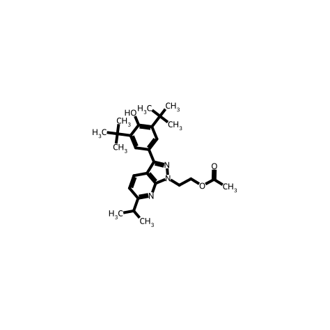 CC(=O)OCCn1nc(-c2cc(C(C)(C)C)c(O)c(C(C)(C)C)c2)c2ccc(C(C)C)nc21